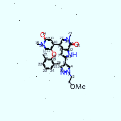 COCCn1cc(-c2cc3c(-c4cc(=O)n(C)cc4Oc4c(C)cccc4C)cn(C)c(=O)c3[nH]2)cn1